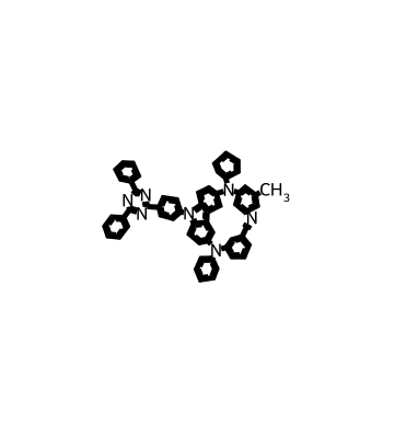 Cc1cccc(N(c2ccccc2)c2ccc3c(c2)c2cc(N(c4ccccc4)c4cccc(C#N)c4)ccc2n3-c2ccc(-c3nc(-c4ccccc4)nc(-c4ccccc4)n3)cc2)c1